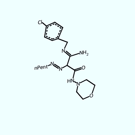 CCCCC/N=N/C(C(=O)NN1CCOCC1)/C(N)=N/Cc1ccc(Cl)cc1